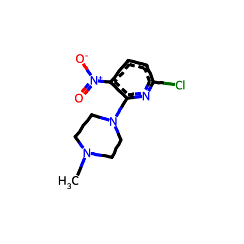 CN1CCN(c2nc(Cl)ccc2[N+](=O)[O-])CC1